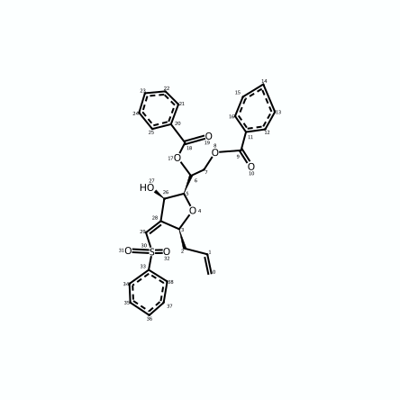 C=CC[C@@H]1O[C@H](C(COC(=O)c2ccccc2)OC(=O)c2ccccc2)[C@H](O)/C1=C/S(=O)(=O)c1ccccc1